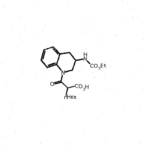 CCCCCCC(C(=O)O)C(=O)N1CC(NC(=O)OCC)Cc2ccccc21